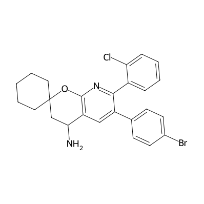 NC1CC2(CCCCC2)Oc2nc(-c3ccccc3Cl)c(-c3ccc(Br)cc3)cc21